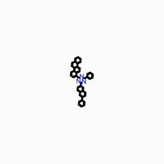 c1ccc(-c2ccc3cc(-c4nc(-c5ccccc5)nc(-c5cccc6c5ccc5c7ccccc7ccc65)n4)ccc3c2)cc1